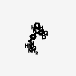 COc1cc2c(cc1OC)[C@H]1CCCC[C@H]1N=C2c1ccc(C(C)=NNC(N)=O)cc1